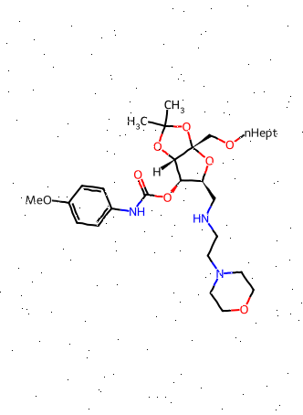 CCCCCCCOC[C@@]12O[C@@H](CNCCN3CCOCC3)[C@@H](OC(=O)Nc3ccc(OC)cc3)[C@@H]1OC(C)(C)O2